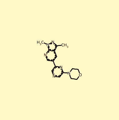 Cc1nn(C)c2ncc(-c3cncc(N4CCOCC4)n3)cc12